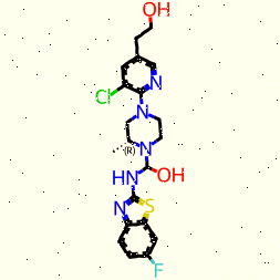 C[C@@H]1CN(c2ncc(CCO)cc2Cl)CCN1C(O)Nc1nc2ccc(F)cc2s1